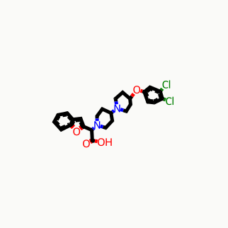 O=C(O)C(c1cc2ccccc2o1)N1CCC(N2CCC(Oc3ccc(Cl)c(Cl)c3)CC2)CC1